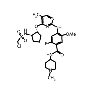 COc1cc(C(=O)NC2CCN(C)CC2)c(F)cc1Nc1ncc(C(F)(F)F)c(O[C@@H]2CCC[C@H]2NS(=O)(=O)CCl)n1